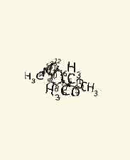 COC(=O)C(C)(C)c1ccc2c(ccn2C)c1